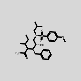 CCC(C)C(C(N)=O)[C@H](Cc1ccccc1)[C@@H](O)CN(CC(C)C)S(=O)(=O)c1ccc(OC)cc1